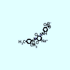 Cc1ccc(N/N=c2\c(=O)cc/c(=N\Nc3ccc(S(=O)(=O)[O-])cc3)c2=O)c(C)c1.[Na+]